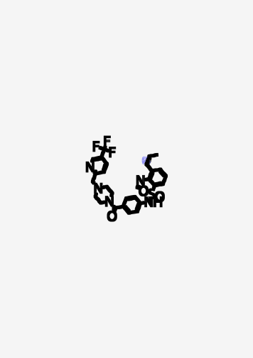 C=Nc1c(/C=C\C)cccc1S(=O)(=O)Nc1ccc(C(=O)N2CCN(Cc3ccc(C(F)(F)F)cn3)CC2)cc1